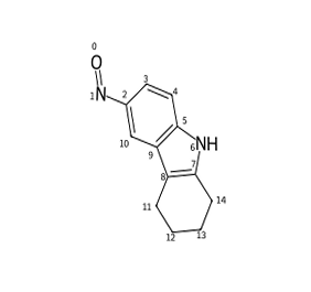 O=Nc1ccc2[nH]c3c(c2c1)CCCC3